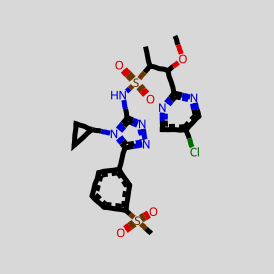 COC(c1ncc(Cl)cn1)C(C)S(=O)(=O)Nc1nnc(-c2cccc(S(C)(=O)=O)c2)n1C1CC1